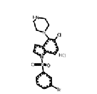 Cl.O=S(=O)(c1cccc(Br)c1)n1ccc2c(N3CCNCC3)c(Cl)ccc21